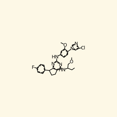 CCC(COC)Nc1nc(Nc2ccc(-n3cnc(Cl)c3)c(OC)c2)nc2c1CCC2c1ccc(F)cc1